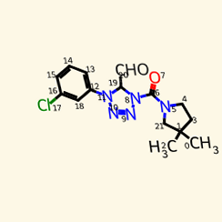 CC1(C)CCN(C(=O)N2N=NN(c3cccc(Cl)c3)C2C=O)C1